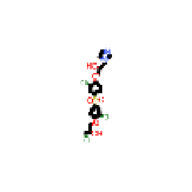 O=S(=O)(C1=CCC(OC[C@H](O)Cn2ccnc2)C(Cl)=C1)c1ccc(OC[C@H](O)CCl)c(Cl)c1